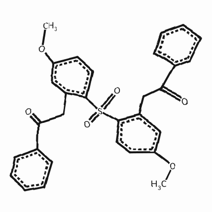 COc1ccc(S(=O)(=O)c2ccc(OC)cc2CC(=O)c2ccccc2)c(CC(=O)c2ccccc2)c1